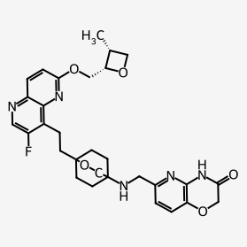 C[C@@H]1CO[C@@H]1COc1ccc2ncc(F)c(CCC34CCC(NCc5ccc6c(n5)NC(=O)CO6)(CC3)CO4)c2n1